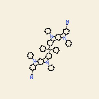 N#Cc1ccc2c(c1)c1cc3c(cc1n2-c1ccccc1)c1cc([Si](c2ccccc2)(c2ccccc2)c2ccc4c(c2)c2cc5c(cc2n4-c2ccccc2)c2cc(C#N)ccc2n5-c2ccccc2)ccc1n3-c1ccccc1